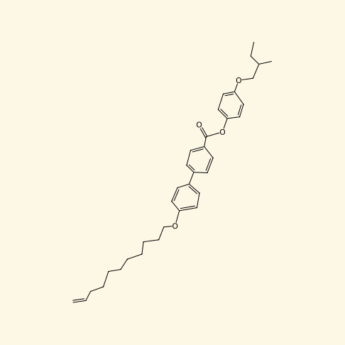 C=CCCCCCCCCCOc1ccc(-c2ccc(C(=O)Oc3ccc(OCC(C)CC)cc3)cc2)cc1